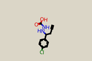 C#CCC(NNC(=O)O)c1ccc(Cl)cc1